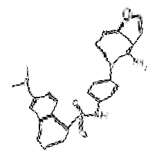 CN(C)c1ccc2c(S(=O)(=O)Nc3ccc(N4CN=c5occc5=C4N)cc3)cccc2c1